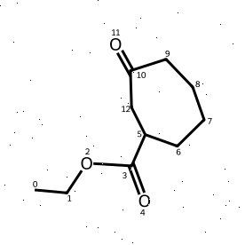 CCOC(=O)C1CCCCC(=O)C1